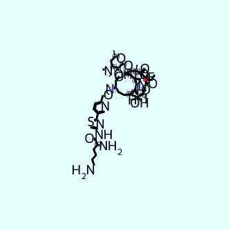 CCC(=O)/N=C1\[C@H](C)C[C@@]2(C)OC/C(=N/OCc3ccc(-c4nc(NC(=O)[C@@H](N)CCCCN)cs4)cn3)CC[C@H]([C@H]1C)C(C)(O)[C@@H](I)OC(=O)[C@@](C)(F)C(=O)[C@H](C)[C@H]2O[C@@H]1O[C@H](C)C[C@H](N(C)C)[C@H]1O